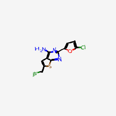 Nc1nc(-c2ccc(Cl)o2)nc2sc(CBr)cc12